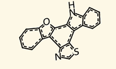 c1ccc2c(c1)[nH]c1c3oc4ccccc4c3c3ncsc3c21